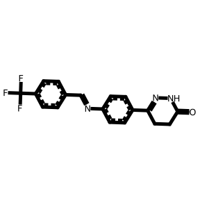 O=C1CCC(c2ccc(N=Cc3ccc(C(F)(F)F)cc3)cc2)=NN1